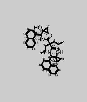 CCCC(CCC)(C(=O)NC(c1cccc2ccccc12)C1(O)CC1)C(=O)NC(c1cccc2ccccc12)C1(O)CC1